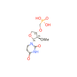 CO[C@@H]1[C@@H](OCP(=O)(O)O)CO[C@H]1n1ccc(=O)[nH]c1=O